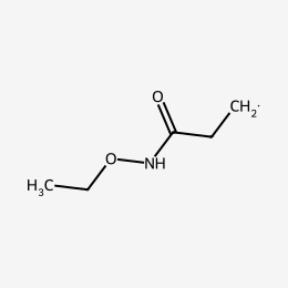 [CH2]CC(=O)NOCC